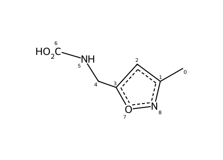 Cc1cc(CNC(=O)O)on1